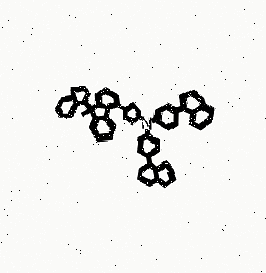 CC1(c2cccc3ccccc23)c2ccccc2-c2c(-c3ccc(N(c4ccc(-c5cccc6ccccc56)cc4)c4ccc(-c5cccc6ccccc56)cc4)cc3)cccc21